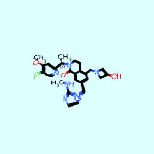 CNc1nccn1Cc1cc(CN2CC(O)C2)c2c(c1)C(=O)N([C@@H](C)c1cc(OC)c(F)cn1)CC2